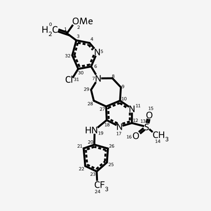 C=C(OC)c1cnc(N2CCc3nc(S(C)(=O)=O)nc(Nc4ccc(C(F)(F)F)cc4)c3CC2)c(Cl)c1